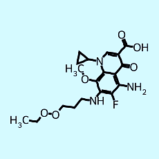 CCOOCCCNc1c(F)c(N)c2c(=O)c(C(=O)O)cn(C3CC3)c2c1OC